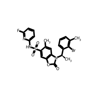 Cc1cc2c(cc1S(=O)(=O)Nc1cccc(F)n1)oc(=O)n2[C@H](C)c1cccc(C)c1Br